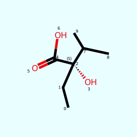 CC[C@@](O)(C(=O)O)C(C)C